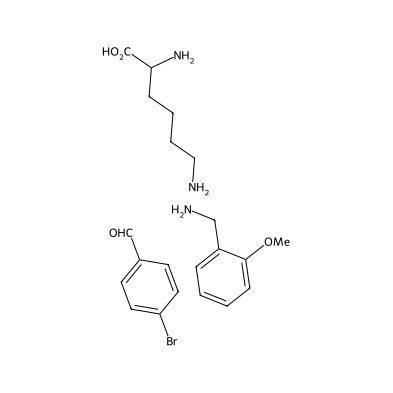 COc1ccccc1CN.NCCCCC(N)C(=O)O.O=Cc1ccc(Br)cc1